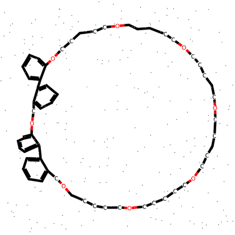 c1ccc2c(c1)COCCCCCOCCCCCOCCCCCOCCCCCOCCCCCOCCCCCOc1ccccc1-c1ccccc1COc1ccccc1-2